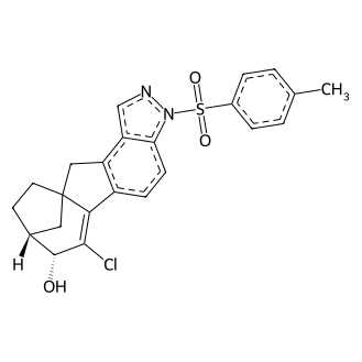 Cc1ccc(S(=O)(=O)n2ncc3c4c(ccc32)C2=C(Cl)[C@H](O)[C@@H]3CCC2(C4)C3)cc1